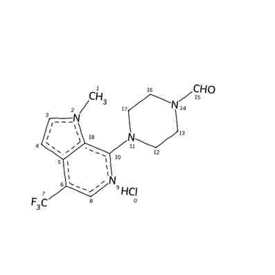 Cl.Cn1ccc2c(C(F)(F)F)cnc(N3CCN(C=O)CC3)c21